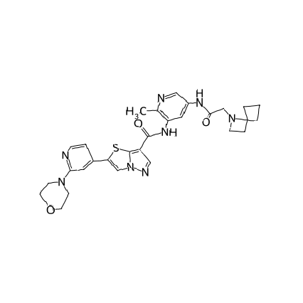 Cc1ncc(NC(=O)CN2CCC23CCC3)cc1NC(=O)c1cnn2cc(-c3ccnc(N4CCOCC4)c3)sc12